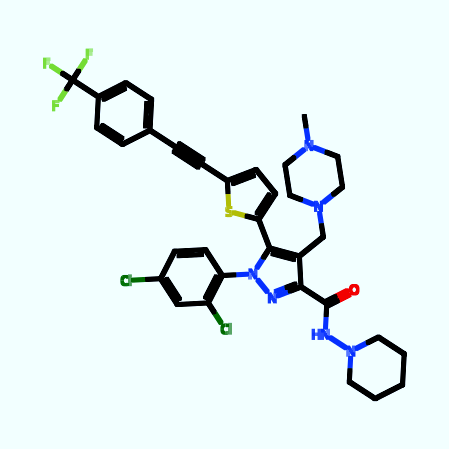 CN1CCN(Cc2c(C(=O)NN3CCCCC3)nn(-c3ccc(Cl)cc3Cl)c2-c2ccc(C#Cc3ccc(C(F)(F)F)cc3)s2)CC1